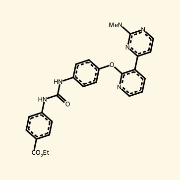 CCOC(=O)c1ccc(NC(=O)Nc2ccc(Oc3ncccc3-c3ccnc(NC)n3)cc2)cc1